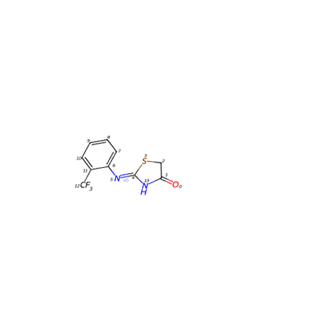 O=C1CS/C(=N\c2ccccc2C(F)(F)F)N1